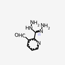 N/N=C(\NN)c1ncccc1C=O